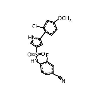 COc1ccc(-c2cc(S(=O)(=O)Nc3ccc(C#N)cc3F)c[nH]2)c(Cl)c1